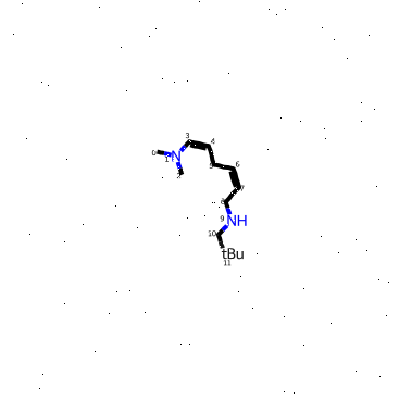 CN(C)/C=C\C/C=C\CNCC(C)(C)C